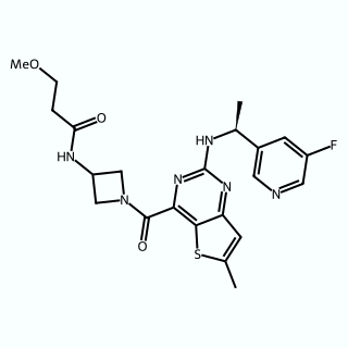 COCCC(=O)NC1CN(C(=O)c2nc(N[C@@H](C)c3cncc(F)c3)nc3cc(C)sc23)C1